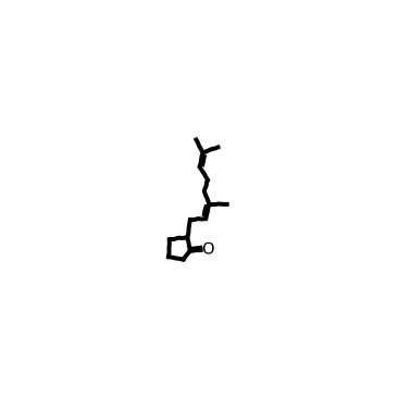 CC(C)=CCCC(C)=CCC1CCCC1=O